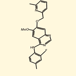 COc1cc2c(Nc3ccc(C)cc3F)ncnc2cc1OCc1cccc(C)n1